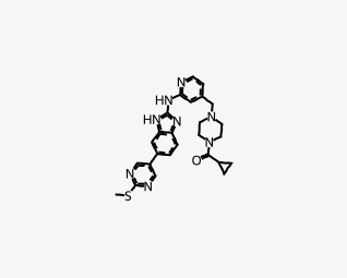 CSc1ncc(-c2ccc3nc(Nc4cc(CN5CCN(C(=O)C6CC6)CC5)ccn4)[nH]c3c2)cn1